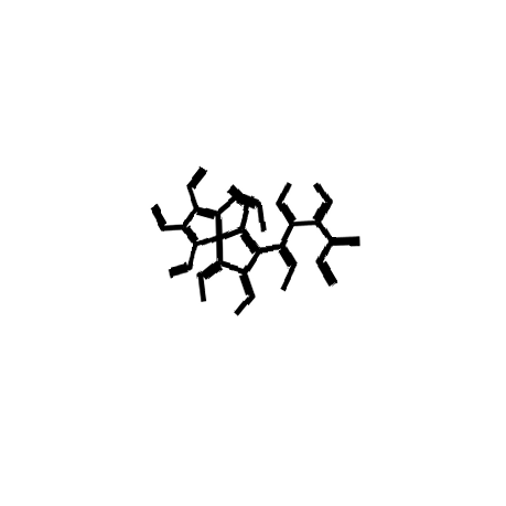 C=CC(=C)C(=C/C)/C(=C\C)C(=C/C)/C1=C(C=C)C2(C(C=C)=C(C=C)C(C=C)=C2/C=C\C)C(=C/C)/C1=C\C